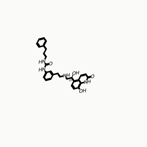 O=C(NCCCc1ccccc1)Nc1cccc(CCNC[C@@H](O)c2ccc(O)c3[nH]c(=O)ccc23)c1